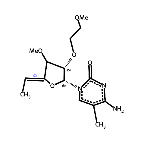 C/C=C1\O[C@@H](n2cc(C)c(N)nc2=O)[C@@H](OCCOC)C1OC